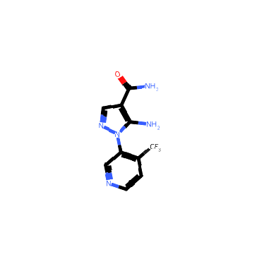 NC(=O)c1cnn(-c2cnccc2C(F)(F)F)c1N